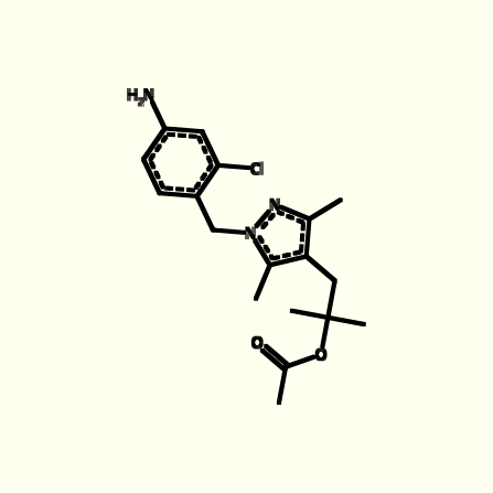 CC(=O)OC(C)(C)Cc1c(C)nn(Cc2ccc(N)cc2Cl)c1C